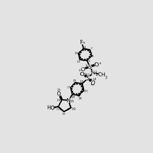 CN(S(=O)(=O)c1ccc(F)cc1)S(=O)(=O)c1ccc(N2CCC(O)C2=O)cc1